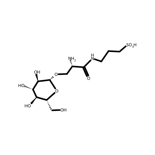 N[C@@H](CO[C@@H]1O[C@H](CO)[C@@H](O)[C@H](O)[C@H]1O)C(=O)NCCCS(=O)(=O)O